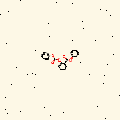 O=C(Oc1ccccc1)Oc1ccccc1C(=O)Oc1ccccc1